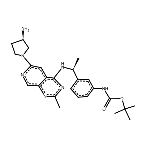 Cc1nc(N[C@@H](C)c2cccc(NC(=O)OC(C)(C)C)c2)c2cc(N3CC[C@@H](N)C3)ncc2n1